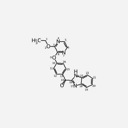 CCOc1nccnc1Oc1ccc(C(=O)c2nc3ccccc3[nH]2)cc1